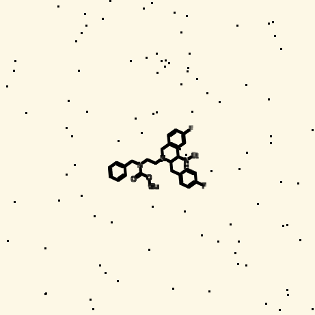 CCNC1c2cc(F)ccc2CN(CCN(Cc2ccccc2)C(=O)OC(C)(C)C)C1Cc1ccc(F)cc1